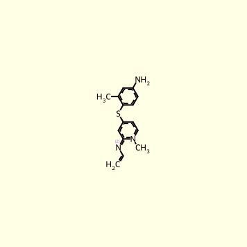 C=C/N=c1/cc(Sc2ccc(N)cc2C)ccn1C